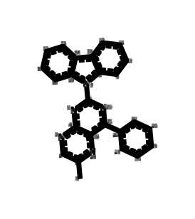 Cc1cnc2nc(-n3c4ccccc4c4ccccc43)nc(-c3ccccc3)c2n1